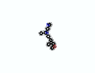 c1ccc(-c2cc(-c3ccc(-c4ccc5c(c4)c4ccccc4c4c5ccc5oc6ccccc6c54)cc3)nc(-c3ccc(-c4ccccn4)cc3)c2)cc1